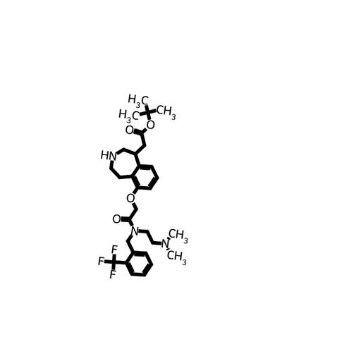 CN(C)CCN(Cc1ccccc1C(F)(F)F)C(=O)COc1cccc2c1CCNCC2CC(=O)OC(C)(C)C